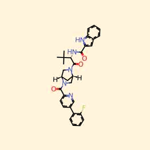 CC(C)(C)[C@H](NC(=O)c1cc2ccccc2[nH]1)C(=O)N1C[C@@H]2C[C@H]1CN2C(=O)c1ccc(-c2ccccc2F)cn1